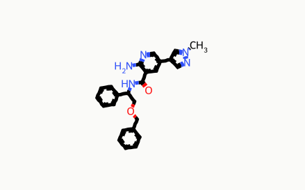 Cn1cc(-c2cnc(N)c(C(=O)NC(COCc3ccccc3)c3ccccc3)c2)cn1